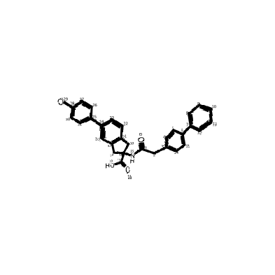 O=C(Cc1ccc(-c2ccccc2)cc1)NC1(C(=O)O)Cc2ccc(-c3ccc(Cl)cc3)cc2C1